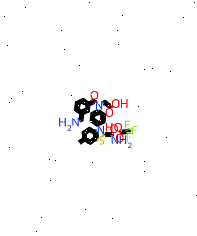 CC1CCc2nc(C(N)=O)sc2C1.NCc1cccc(C(=O)N(CC(=O)O)c2ccccc2)c1.O=C(O)C(F)(F)F